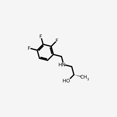 C[C@H](O)CNCc1ccc(F)c(F)c1F